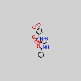 O=C(Nc1cncn(C(C(=O)O)c2ccc3c(c2)OCO3)c1=O)c1ccccc1